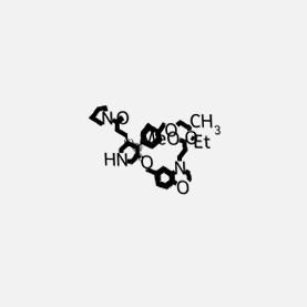 CCOC(C)COCc1ccc([C@H]2[C@H](CCC(=O)N3CCCC3)CNC[C@@H]2OCc2ccc3c(c2)N(CCCOC)CCO3)cc1